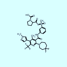 Cc1c(C(=O)Nc2cccc(S(C)(=O)=NC(=O)C3CCCN3C(=O)O)c2)c(N2CCCC(F)(F)CC2)nc(C(F)(F)F)c1-c1cnn(C)c1